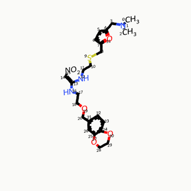 CN(C)Cc1ccc(CSCCNC(=C[N+](=O)[O-])NCCOCc2ccc3c(c2)OCCO3)o1